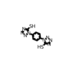 Sc1nnnn1-c1ccc(-n2nnnc2S)cc1